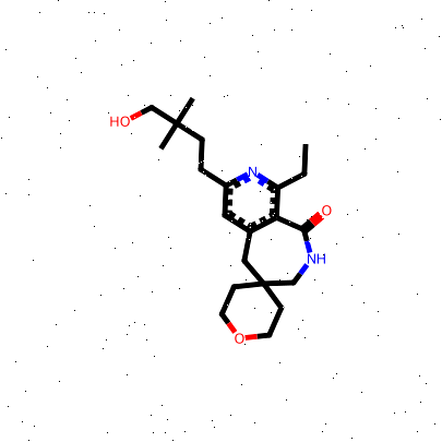 CCc1nc(CCC(C)(C)CO)cc2c1C(=O)NCC1(CCOCC1)C2